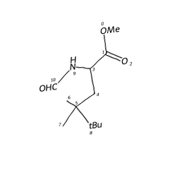 COC(=O)C(CC(C)(C)C(C)(C)C)NC=O